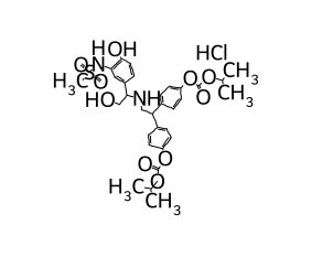 CC(C)OC(=O)Oc1ccc(C(CNC(CO)c2ccc(O)c(NS(C)(=O)=O)c2)c2ccc(OC(=O)OC(C)C)cc2)cc1.Cl